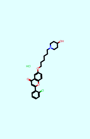 Cl.O=c1cc(-c2ccccc2Cl)oc2ccc(OCCCCCCN3CCC(O)CC3)cc12